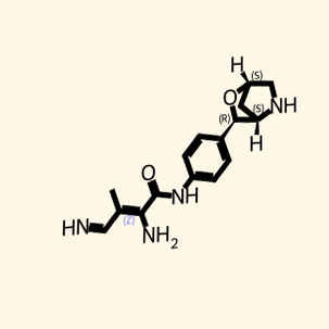 C/C(C=N)=C(/N)C(=O)Nc1ccc([C@H]2O[C@@H]3CN[C@H]2C3)cc1